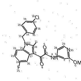 COc1cc(NC(=O)C(=O)c2c(C)n(Cc3ccc(Cl)cc3)c3ccc(F)cc23)ccn1